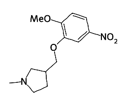 COc1ccc([N+](=O)[O-])cc1OCC1CCN(C)C1